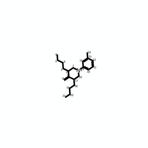 C=C1C(CCCC)CN(c2cccc(C)c2)CC1CCCC